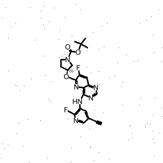 C#Cc1cnc(F)c(Nc2ncnc3cc(F)c(O[C@H]4CCN(C(=O)OC(C)(C)C)C4)nc23)c1